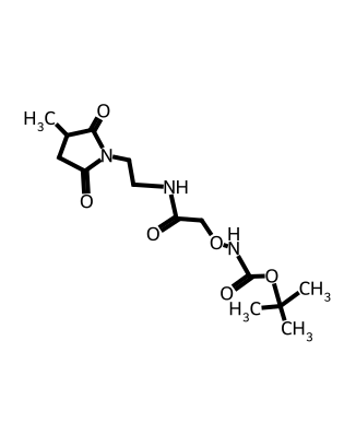 CC1CC(=O)N(CCNC(=O)CONC(=O)OC(C)(C)C)C1=O